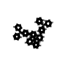 C1=CCC(N(c2ccccc2)c2ccc(-c3cccc4c3C3C=CC=CC3C43C4=C(C=CC(c5ccc(N(c6ccccc6)C6CC=CCC6)cc5)C4)c4ccccc43)cc2)C=C1